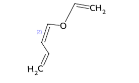 C=C/C=C\OC=C